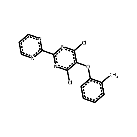 Cc1ccccc1Oc1c(Cl)nc(-c2ncccn2)nc1Cl